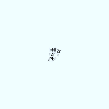 [Ni].[Pb].[Zr].[Zr]